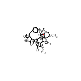 CC1=C[C@@]2(C)C(=C(C)[C@H]3[C@H]4C[C@@H](C)C[C@@H](C)[C@@H]4[C@@H]4Oc5ccc(cc5)C[C@@H]5C(=O)NC(=O)[C@H]5C(=O)[C@H]2[C@H]43)[C@H]1C